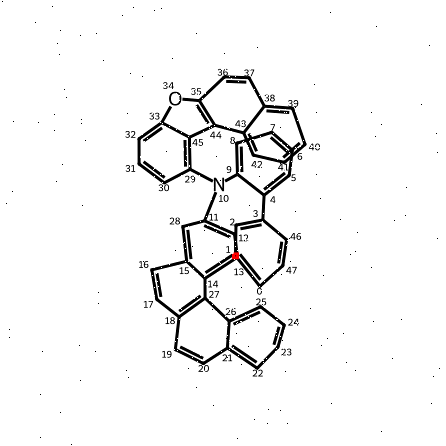 c1ccc(-c2ccccc2N(c2ccc3c(ccc4ccc5ccccc5c43)c2)c2cccc3oc4ccc5ccccc5c4c23)cc1